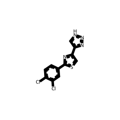 Clc1ccc(-c2nc(-c3c[nH]nn3)cs2)cc1Cl